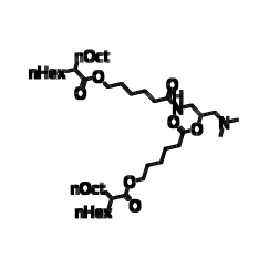 CCCCCCCCC(CCCCCC)C(=O)OCCCCCC(=O)NCC(CN(C)C)OC(=O)CCCCCOC(=O)C(CCCCCC)CCCCCCCC